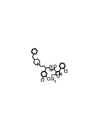 Cc1onc(-c2ccccc2Cl)c1C(=O)NCC(CCN1CCC(Cc2ccccc2)CC1)c1ccc(Cl)c(Cl)c1